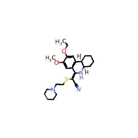 CCOc1cc2c(cc1OC)C(=C(C#N)SCCN1CCCCC1)N[C@@H]1CCCC[C@H]21